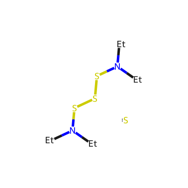 CCN(CC)SSSN(CC)CC.[S]